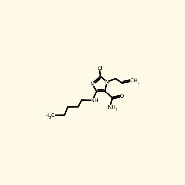 C=CCn1c(Cl)nc(NCCCCC)c1C(N)=O